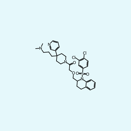 CN(C)CCCC1(c2cccnc2)CCN(C(=O)COCC2CCc3ccccc3N2S(=O)(=O)c2ccc(Cl)c(Cl)c2)CC1